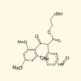 CCCCCCCCCCCCOC(=O)C(C(=O)c1c(OC)cc(OC)cc1OC)c1ccccc1.O=P